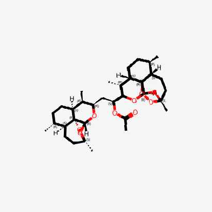 CC(=O)O[C@@H](C[C@H]1O[C@@H]2O[C@]3(C)CC[C@H]4[C@H](C)CC[C@@H]([C@H]1C)[C@@]24OO3)C1O[C@@H]2O[C@]3(C)CC[C@H]4[C@H](C)CC[C@@H]([C@H]1C)[C@@]24OO3